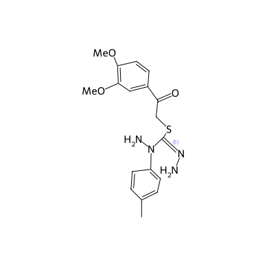 COc1ccc(C(=O)CS/C(=N/N)N(N)c2ccc(C)cc2)cc1OC